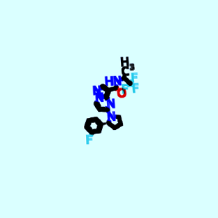 CC(NC(=O)c1cnn2ccc(N3CCC[C@@H]3c3cccc(F)c3)nc12)C(F)(F)F